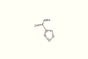 CNC(=O)c1ccoc1